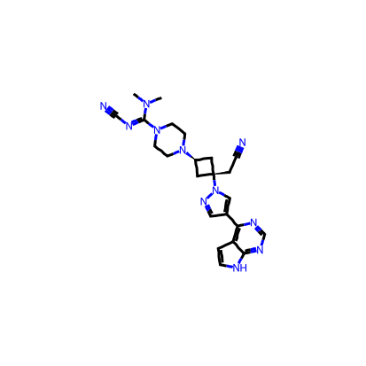 CN(C)C(=NC#N)N1CCN([C@H]2C[C@](CC#N)(n3cc(-c4ncnc5[nH]ccc45)cn3)C2)CC1